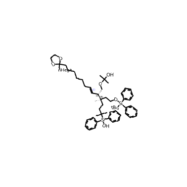 CCCCCCCC1(CCCCCC/C=C/[C@H](COC(C)(C)O)[C@@](C)(CCO[Si](c2ccccc2)(c2ccccc2)C(C)(C)C)CCC(C)(C)[Si](O)(c2ccccc2)c2ccccc2)OCCO1